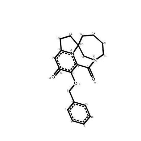 O=C1c2c(OCc3ccccc3)c(=O)cc3n2C2(CCCCN1C2)CC3